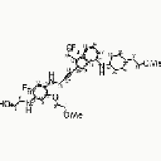 COCCOc1cc(NCCO)c(F)cc1NCC#Cc1sc2c(NC3CCN(CCOC)CC3)cccc2c1CC(F)(F)F